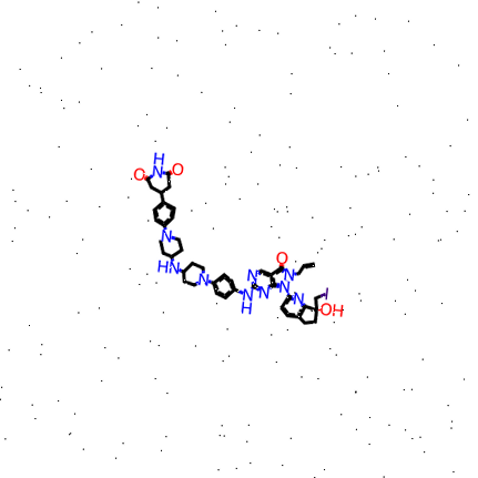 C=CCn1c(=O)c2cnc(Nc3ccc(N4CCC(NC5CCN(c6ccc(C7CC(=O)NC(=O)C7)cc6)CC5)CC4)cc3)nc2n1-c1ccc2c(n1)[C@@](O)(CI)CC2